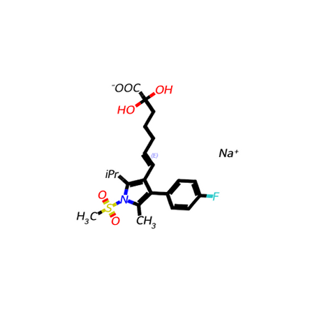 Cc1c(-c2ccc(F)cc2)c(/C=C/CCCC(O)(O)C(=O)[O-])c(C(C)C)n1S(C)(=O)=O.[Na+]